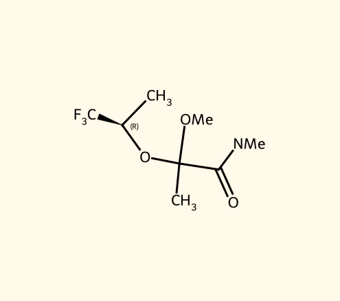 CNC(=O)C(C)(OC)O[C@H](C)C(F)(F)F